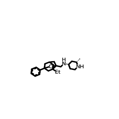 CCC12CC3CC(c4ccccc4)(C1)CC2(CN[C@H]1CCN[C@@H](C)C1)C3